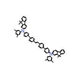 Cc1cc(C)cc(N(c2ccc(-c3ccc(/C=C/c4ccc(-c5ccc(N(c6cc(C)cc(C)c6)c6ccc7c(c6)C(C)(C)c6ccccc6-7)cc5)cc4)cc3)cc2)c2ccc3c(c2)C(C)(C)c2ccccc2-3)c1